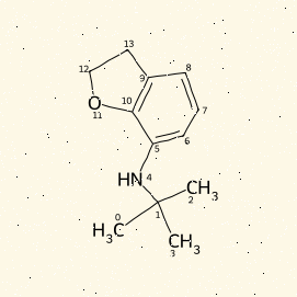 CC(C)(C)Nc1cccc2c1OCC2